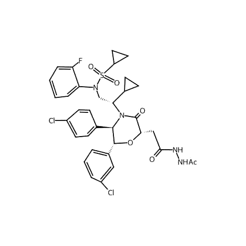 CC(=O)NNC(=O)C[C@@H]1O[C@H](c2cccc(Cl)c2)[C@@H](c2ccc(Cl)cc2)N([C@H](CN(c2ccccc2F)S(=O)(=O)C2CC2)C2CC2)C1=O